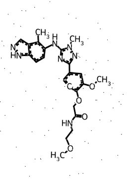 COCCNC(=O)COc1ccc(-c2nc(Nc3ccc4[nH]ncc4c3C)n(C)n2)cc1OC